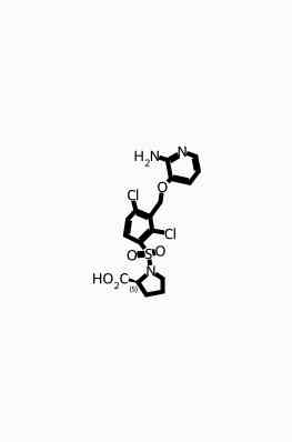 Nc1ncccc1OCc1c(Cl)ccc(S(=O)(=O)N2CCC[C@H]2C(=O)O)c1Cl